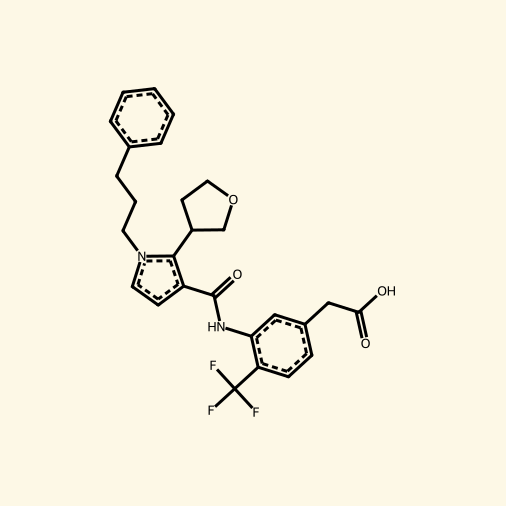 O=C(O)Cc1ccc(C(F)(F)F)c(NC(=O)c2ccn(CCCc3ccccc3)c2C2CCOC2)c1